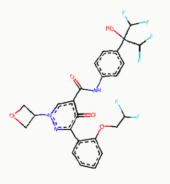 O=C(Nc1ccc(C(O)(C(F)F)C(F)F)cc1)c1cn(C2COC2)nc(-c2ccccc2OCC(F)F)c1=O